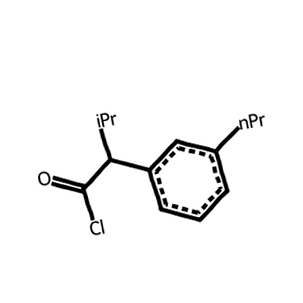 CCCc1cccc(C(C(=O)Cl)C(C)C)c1